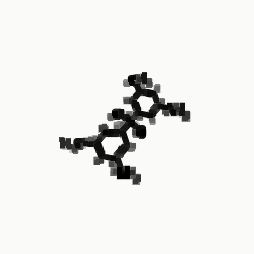 Cc1cc(N)cc(S(=O)(=O)c2cc(C)cc(N)c2)c1